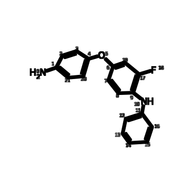 Nc1ccc(Oc2ccc(Nc3ccccc3)c(F)c2)cc1